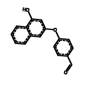 O=Cc1ccc(Oc2cc(O)c3ccccc3c2)cc1